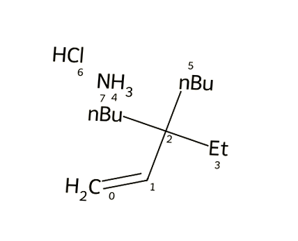 C=CC(CC)(CCCC)CCCC.Cl.N